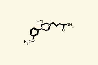 COc1cccc(N2CCN(CCCC(N)=O)CC2)c1.Cl